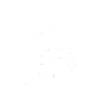 C=CC(=O)N1CCN(c2nc(OC[C@@H]3CCCN3C3CC3)nc3c2CCN(c2c(C)ccc4c2cnn4C2CCCCO2)C3)C[C@@H]1CC#N